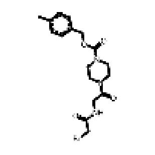 Cc1ccc(COC(=O)N2CCN(C(=O)CNC(=O)CBr)CC2)cc1